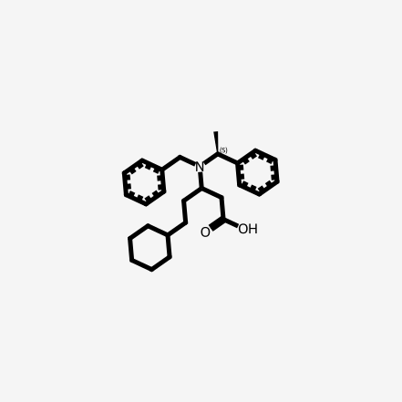 C[C@@H](c1ccccc1)N(Cc1ccccc1)C(CCC1CCCCC1)CC(=O)O